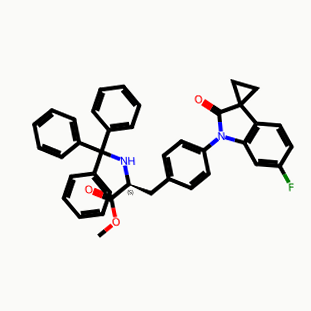 COC(=O)[C@H](Cc1ccc(N2C(=O)C3(CC3)c3ccc(F)cc32)cc1)NC(c1ccccc1)(c1ccccc1)c1ccccc1